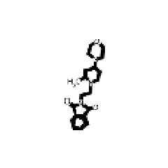 CC1CC(N2CCOCC2)CCN1CCN1C(=O)c2ccccc2C1=O